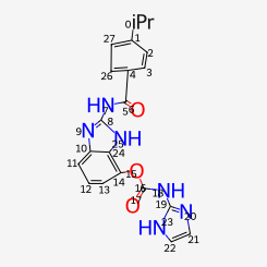 CC(C)c1ccc(C(=O)Nc2nc3cccc(OC(=O)Nc4ncc[nH]4)c3[nH]2)cc1